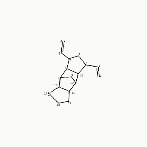 C=CC1CC(C=C)C2C3CC(C4CCSC43)C12